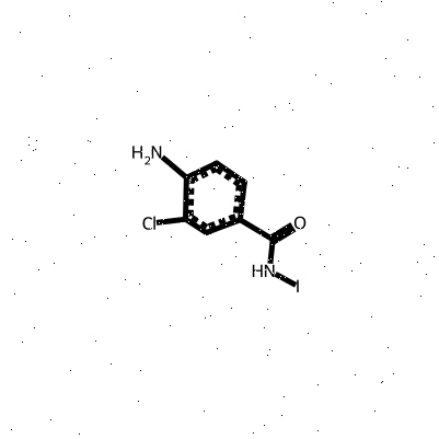 Nc1ccc(C(=O)NI)cc1Cl